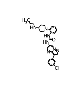 CCCNC1CCN(c2ccccc2NC(=O)Nc2cnc3c(-c4cccc(Cl)c4)cnn3c2)CC1